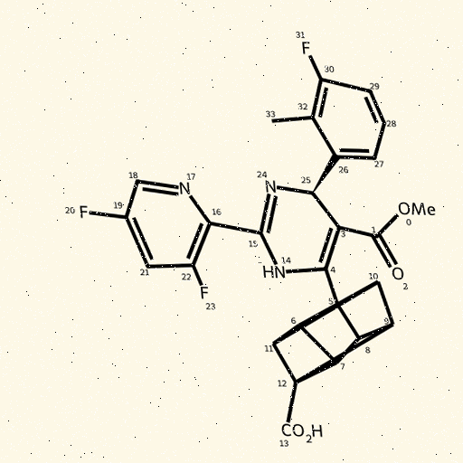 COC(=O)C1=C(C23C4C5C2C2C3C4C52C(=O)O)NC(c2ncc(F)cc2F)=N[C@H]1c1cccc(F)c1C